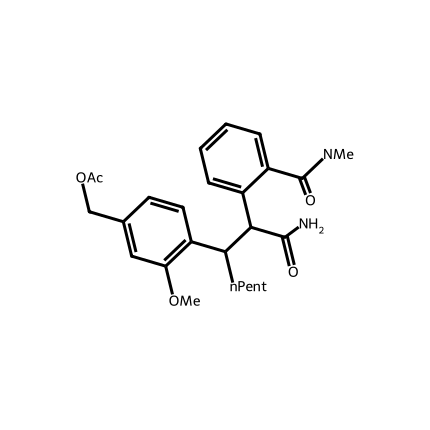 CCCCCC(c1ccc(COC(C)=O)cc1OC)C(C(N)=O)c1ccccc1C(=O)NC